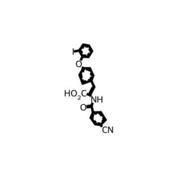 N#Cc1ccc(C(=O)N/C(=C/c2ccc(Oc3ccccc3I)cc2)C(=O)O)cc1